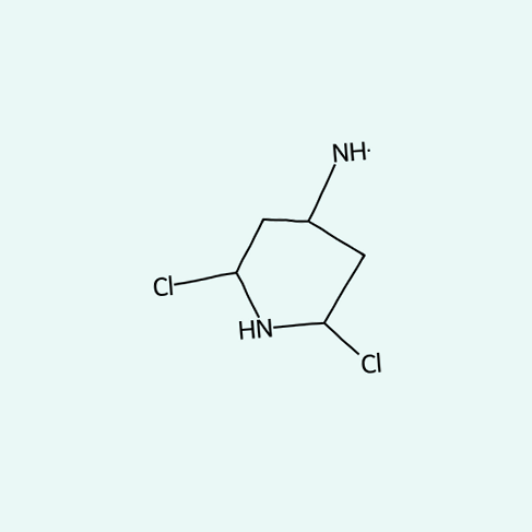 [NH]C1CC(Cl)NC(Cl)C1